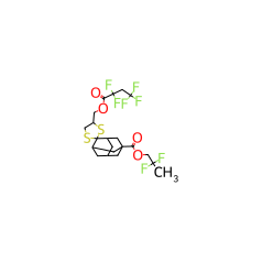 CC(F)(F)COC(=O)C12CC3CC(C1)C1(SCC(COC(=O)C(F)(F)CC(F)(F)F)S1)C(C3)C2